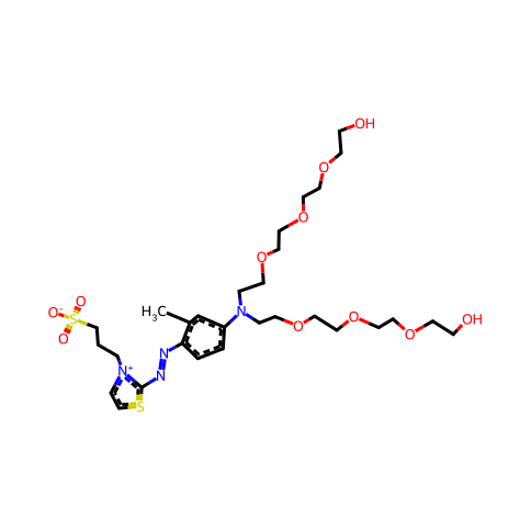 Cc1cc(N(CCOCCOCCOCCO)CCOCCOCCOCCO)ccc1/N=N/c1scc[n+]1CCCS(=O)(=O)[O-]